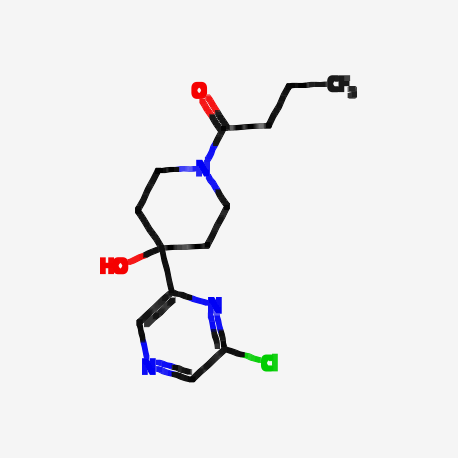 O=C(CCC(F)(F)F)N1CCC(O)(c2cncc(Cl)n2)CC1